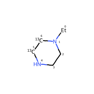 CCN1CCN[13CH2][13CH2]1